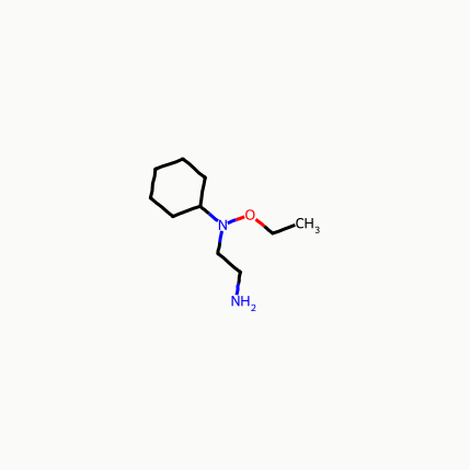 CCON(CCN)C1CCCCC1